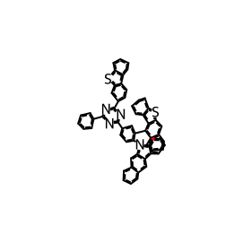 c1ccc(-c2nc(-c3ccc(-n4c5ccccc5c5cc6ccccc6cc54)c(-c4c5ccccc5cc5sc6ccccc6c45)c3)nc(-c3ccc4c(c3)sc3ccccc34)n2)cc1